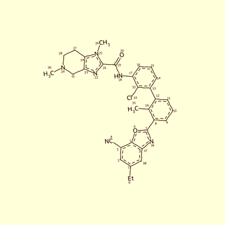 CCc1cc(C#N)c2oc(-c3cccc(-c4cccc(NC(=O)c5nc6c(n5C)CCN(C)C6)c4Cl)c3C)nc2c1